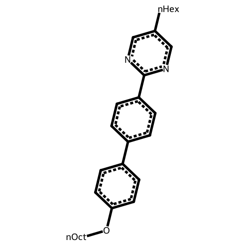 CCCCCCCCOc1ccc(-c2ccc(-c3ncc(CCCCCC)cn3)cc2)cc1